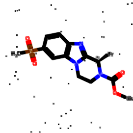 CC(C)[C@@H]1c2nc3ccc(S(C)(=O)=O)cc3n2CCN1C(=O)OC(C)(C)C